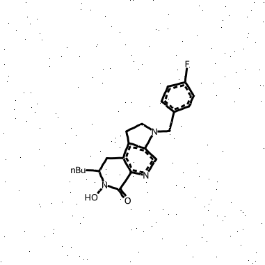 CCCCC1Cc2c(ncc3c2CCN3Cc2ccc(F)cc2)C(=O)N1O